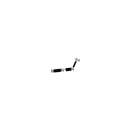 [N-]=[N+]=[N][Eu]